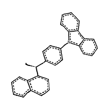 C[C@@H](c1ccc(-n2c3ccccc3c3ccccc32)cc1)c1cccc2ccccc12